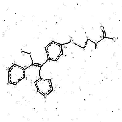 CCC(=C(c1ccncc1)c1ccc(OCCNC(=O)O)cc1)c1ccccc1